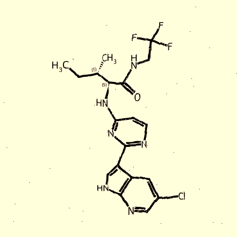 CC[C@H](C)[C@H](Nc1ccnc(-c2c[nH]c3ncc(Cl)cc23)n1)C(=O)NCC(F)(F)F